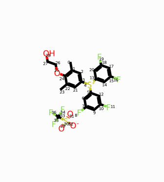 Cc1cc([S+](c2cc(F)cc(F)c2)c2cc(F)cc(F)c2)cc(C)c1OCCO.O=S(=O)([O-])C(F)(F)F